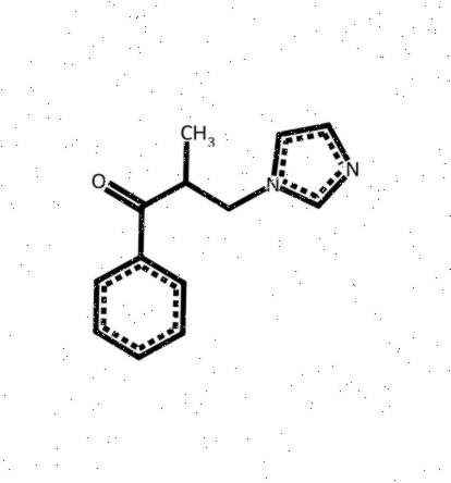 CC(Cn1ccnc1)C(=O)c1ccccc1